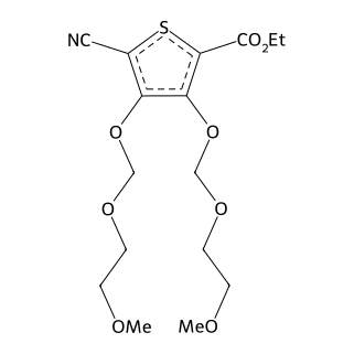 CCOC(=O)c1sc(C#N)c(OCOCCOC)c1OCOCCOC